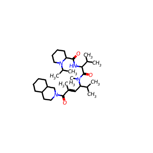 C/C(=C\C(C(C)C)N(C)C(=O)C(NC(=O)C1CCCCN1C(C)C)C(C)C)C(=O)N1CCC2CCCCC2C1